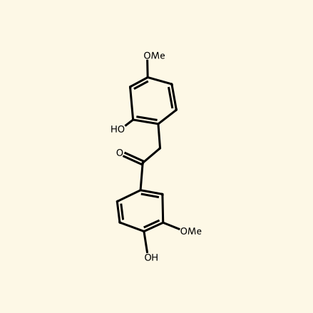 COc1ccc(CC(=O)c2ccc(O)c(OC)c2)c(O)c1